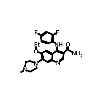 CCOc1cc2c(Nc3ccc(F)cc3F)c(C(N)=O)cnc2cc1N1CCN(C)CC1